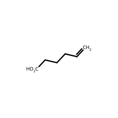 C=[C]CCCC(=O)O